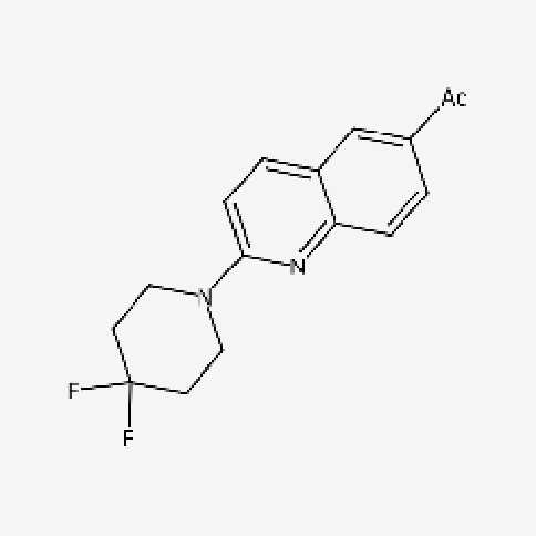 CC(=O)c1ccc2nc(N3CCC(F)(F)CC3)ccc2c1